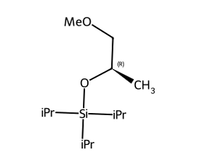 COC[C@@H](C)O[Si](C(C)C)(C(C)C)C(C)C